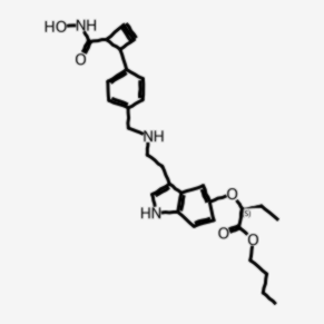 CCCCOC(=O)[C@H](CC)Oc1ccc2[nH]cc(CCNCc3ccc(C4C#CC4C(=O)NO)cc3)c2c1